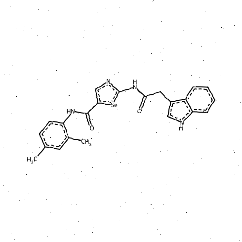 Cc1ccc(NC(=O)c2cnc(NC(=O)Cc3c[nH]c4ccccc34)[se]2)c(C)c1